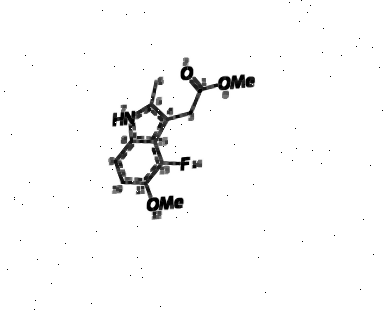 COC(=O)Cc1c(C)[nH]c2ccc(OC)c(F)c12